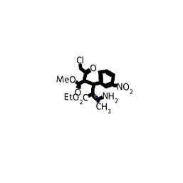 CCOC(=O)/C(=C(\C)N)C(c1cccc([N+](=O)[O-])c1)C(C(=O)CCl)C(=O)OC